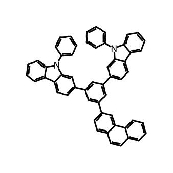 c1ccc(-n2c3ccccc3c3ccc(-c4cc(-c5ccc6ccc7ccccc7c6c5)cc(-c5ccc6c7ccccc7n(-c7ccccc7)c6c5)c4)cc32)cc1